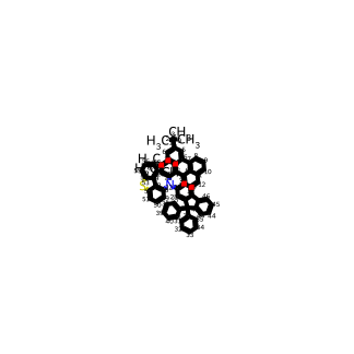 CC(C)(C)c1cc(-c2cccc3cccc(-c4ccccc4N(c4ccc5c(c4)C(c4ccccc4)(c4ccccc4)c4ccccc4-5)c4cccc5sc6ccccc6c45)c23)cc(C(C)(C)C)c1